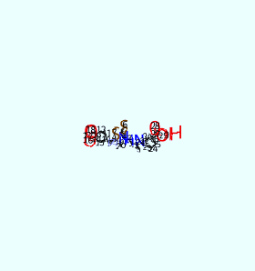 C=C(CCn1c(=S)s/c(=C\c2ccc3c(c2)OCO3)c1=C)Nc1cccc(C(=O)O)c1